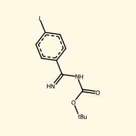 CC(C)(C)OC(=O)NC(=N)c1ccc(I)cc1